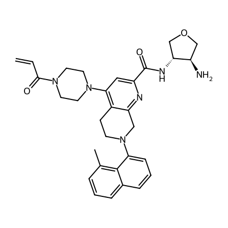 C=CC(=O)N1CCN(c2cc(C(=O)N[C@@H]3COC[C@H]3N)nc3c2CCN(c2cccc4cccc(C)c24)C3)CC1